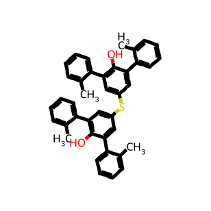 Cc1ccccc1-c1cc(Sc2cc(-c3ccccc3C)c(O)c(-c3ccccc3C)c2)cc(-c2ccccc2C)c1O